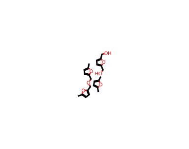 Cc1ccc(C)o1.Cc1ccc(COCc2ccc(C)o2)o1.OCc1ccc(CO)o1